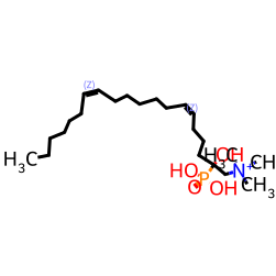 CCCCCC/C=C\CCCCC/C=C\CCCC(O)(C[N+](C)(C)C)P(=O)(O)O